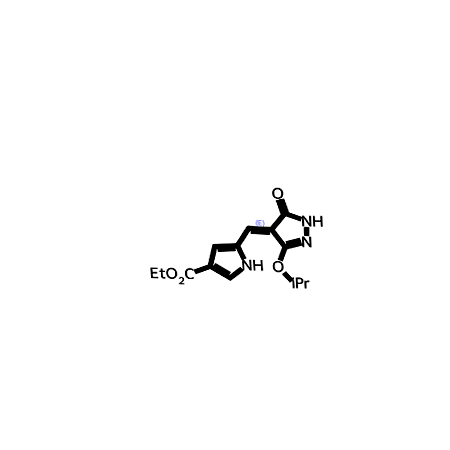 CCOC(=O)c1c[nH]c(/C=C2/C(=O)NN=C2OC(C)C)c1